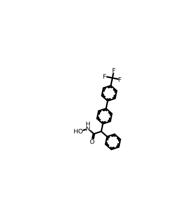 O=C(NO)C(c1ccccc1)c1ccc(-c2ccc(C(F)(F)F)cc2)cc1